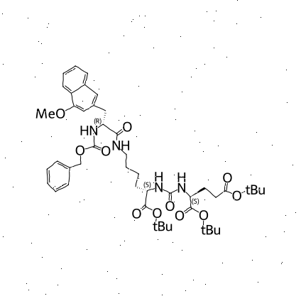 COc1cc(C[C@@H](NC(=O)OCc2ccccc2)C(=O)NCCCC[C@H](NC(=O)N[C@@H](CCC(=O)OC(C)(C)C)C(=O)OC(C)(C)C)C(=O)OC(C)(C)C)cc2ccccc12